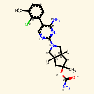 Cc1cccc(-c2cnc(N3C[C@@H]4CC(C)(OC(N)=O)C[C@@H]4C3)nc2N)c1Cl